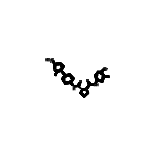 Cc1cc(NC(=O)N2CCC[C@@H]2C(=O)Nc2ccc(-c3ccc(C(=O)O)nc3C)cc2)ccc1C(C)C